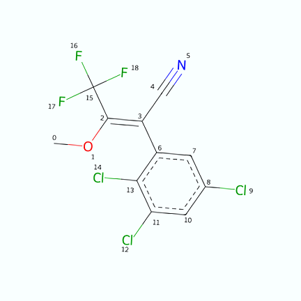 COC(=C(C#N)c1cc(Cl)cc(Cl)c1Cl)C(F)(F)F